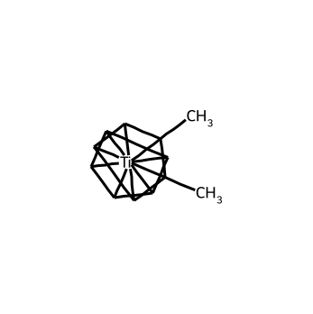 C[C]12[CH]3[CH]4[CH]5[C]1(C)[Ti]43521678[CH]2[CH]1[CH]6[CH]7[CH]28